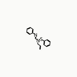 C=CCN(C=Nc1ccccc1)Sc1ccccc1